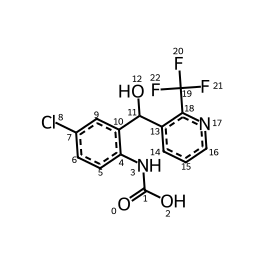 O=C(O)Nc1ccc(Cl)cc1C(O)c1cccnc1C(F)(F)F